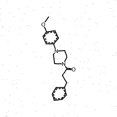 COc1ccc(N2CCN(C(=O)C[CH]c3ccccc3)CC2)cc1